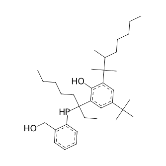 CCCCCC(C)C(C)(C)c1cc(C(C)(C)C)cc(C(CC)(CCCCC)Pc2ccccc2CO)c1O